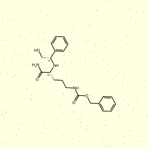 NC(=O)[C@@H](CCCNC(=O)OCc1ccccc1)N[C@H](CO)c1ccccc1